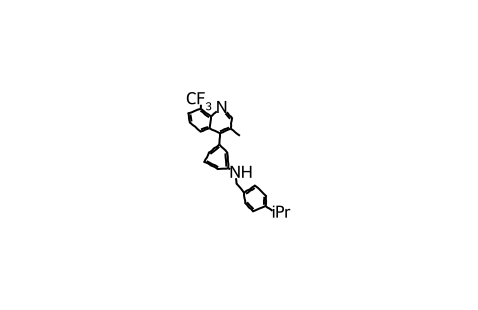 Cc1cnc2c(C(F)(F)F)cccc2c1-c1cccc(NCc2ccc(C(C)C)cc2)c1